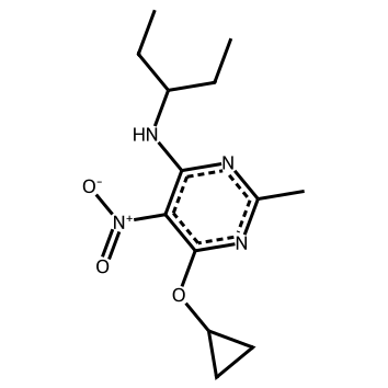 CCC(CC)Nc1nc(C)nc(OC2CC2)c1[N+](=O)[O-]